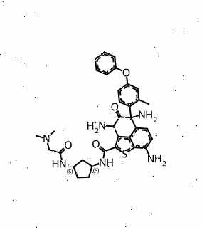 Cc1cc(Oc2ccccc2)ccc1C1(N)C(=O)C(N)c2c(C(=O)N[C@H]3CC[C@H](NC(=O)CN(C)C)C3)sc3c(N)ccc1c23